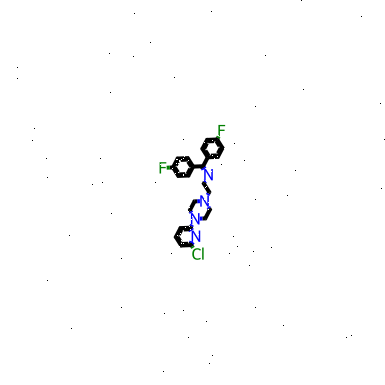 Fc1ccc(C(=NCCN2CCN(c3cccc(Cl)n3)CC2)c2ccc(F)cc2)cc1